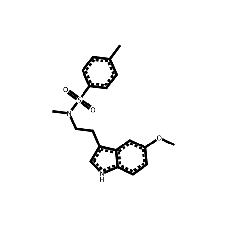 COc1ccc2[nH]cc(CCN(C)S(=O)(=O)c3ccc(C)cc3)c2c1